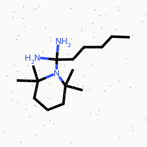 CCCCCC(N)(N)N1C(C)(C)CCCC1(C)C